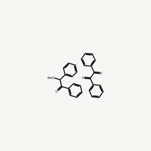 COC(C(=O)c1ccccc1)c1ccccc1.O=C(C(=O)c1ccccc1)c1ccccc1